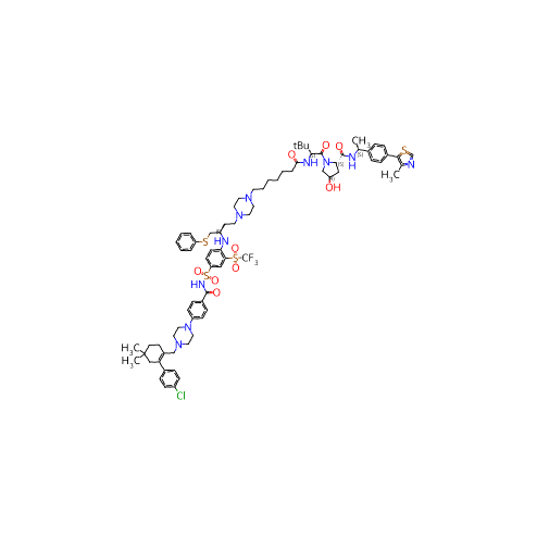 Cc1ncsc1-c1ccc([C@H](C)NC(=O)[C@@H]2C[C@@H](O)CN2C(=O)[C@@H](NC(=O)CCCCCCN2CCN(CC[C@H](CSc3ccccc3)Nc3ccc(S(=O)(=O)NC(=O)c4ccc(N5CCN(CC6=C(c7ccc(Cl)cc7)CC(C)(C)CC6)CC5)cc4)cc3S(=O)(=O)C(F)(F)F)CC2)C(C)(C)C)cc1